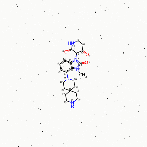 Cn1c(=O)n(C2C(=O)CCNC2=O)c2cccc(N3CCC4(CCNCC4)CC3)c21